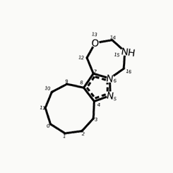 C1CCCc2nn3c(c2CCC1)COCNC3